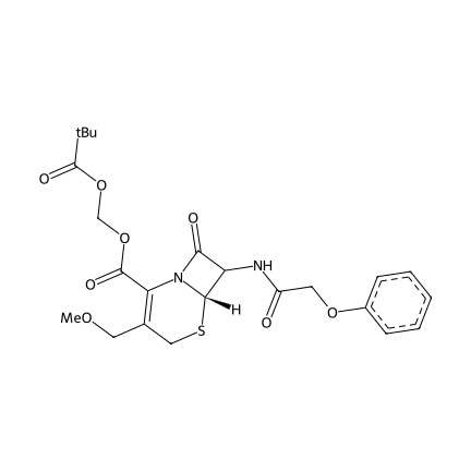 COCC1=C(C(=O)OCOC(=O)C(C)(C)C)N2C(=O)C(NC(=O)COc3ccccc3)[C@@H]2SC1